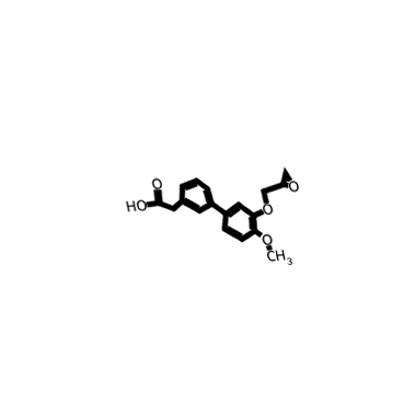 COc1ccc(-c2cccc(CC(=O)O)c2)cc1OCC1CO1